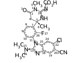 CN1C(=O)C[C@@](C)(c2cccc(-n3c(N(C)C)nc4cc(C#N)c(Cl)cc43)c2F)N/C1=N/C(=O)O